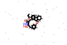 C/C=C\[C@H]1C=CC2[C@@H]3CCCCC3[C@@H]3Oc4ccc(cc4)C[C@@]4(O)C[C@H](C(=O)N4)C(=O)C1[C@H]23